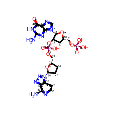 Nc1nc2c(ncn2[C@@H]2O[C@H](COP(=O)(O)O)CC2OP(=O)(O)OC[C@@H]2CC[C@H](n3nnc4c(N)nccc43)O2)c(=O)[nH]1